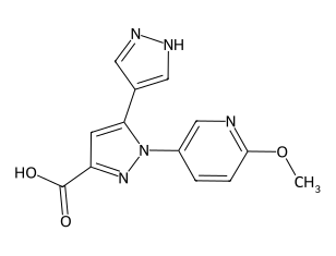 COc1ccc(-n2nc(C(=O)O)cc2-c2cn[nH]c2)cn1